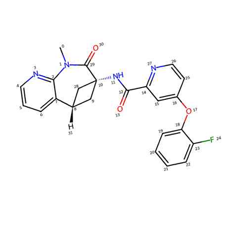 CN1c2ncccc2[C@H]2C[C@@](NC(=O)c3cc(Oc4ccccc4F)ccn3)(C2)C1=O